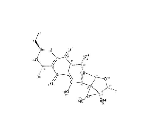 CC[C@H]1CC2=C(C(=O)c3c(O)c4c(c(O)c3C2=O)C2OC(C)C3(O)C(O)C423)[C@H](C)O1